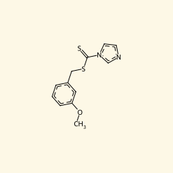 COc1cccc(CSC(=S)n2ccnc2)c1